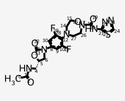 CC(=O)NC[C@H]1CN(c2cc(F)c(N3CCON(C(=O)Nc4nncs4)CC3)c(F)c2)C(=O)O1